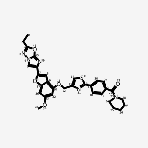 CCc1nn2cc(-c3cc4c(OCc5csc(-c6ccc(C(=O)N7CCCCC7)cc6)n5)cc(OC)cc4o3)nc2o1